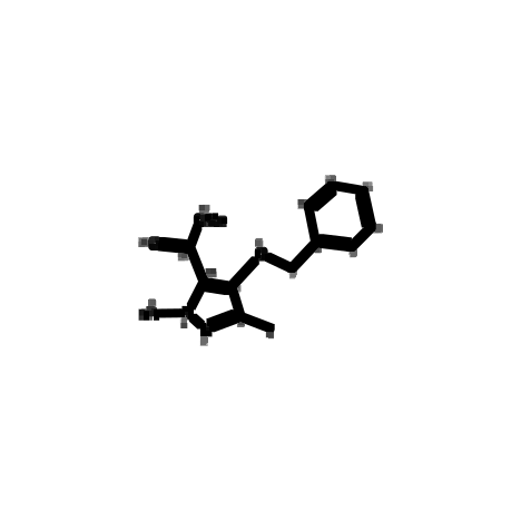 CCCn1nc(C)c(OCc2ccccc2)c1C(=O)OC